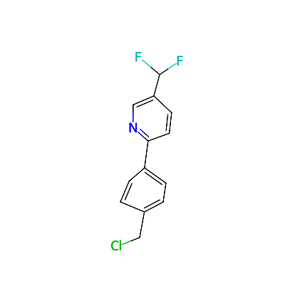 FC(F)c1ccc(-c2ccc(CCl)cc2)nc1